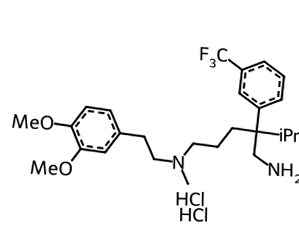 COc1ccc(CCN(C)CCCC(CN)(c2cccc(C(F)(F)F)c2)C(C)C)cc1OC.Cl.Cl